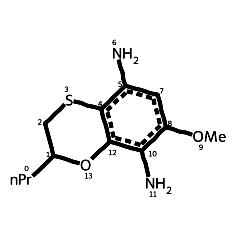 CCCC1CSc2c(N)cc(OC)c(N)c2O1